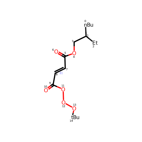 CCCCC(CC)COC(=O)/C=C/C(=O)OOOC(C)(C)C